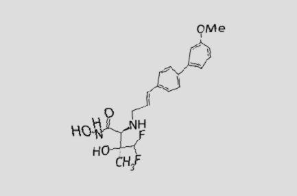 COc1cccc(-c2ccc(/C=C/CN[C@H](C(=O)NO)[C@](C)(O)C(F)F)cc2)c1